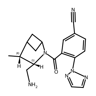 C[C@@H]1C2CC(C2)N(C(=O)c2cc(C#N)ccc2-n2nccn2)[C@@H]1CN